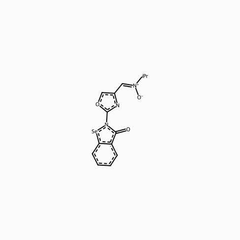 CC(C)[N+]([O-])=Cc1coc(-n2[se]c3ccccc3c2=O)n1